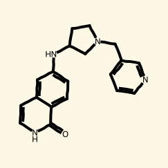 O=c1[nH]ccc2cc(NC3CCN(Cc4cccnc4)C3)ccc12